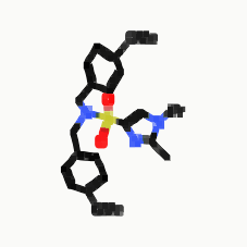 COc1ccc(CN(Cc2ccc(OC)cc2)S(=O)(=O)c2cn(C(C)C)c(C)n2)cc1